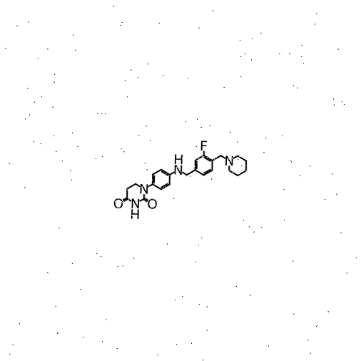 O=C1CCN(c2ccc(NCc3ccc(CN4CCCCC4)c(F)c3)cc2)C(=O)N1